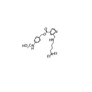 CCN(CC)CCCCNCc1cc(C(=O)OCc2ccc(NC(=O)O)cc2)ccn1